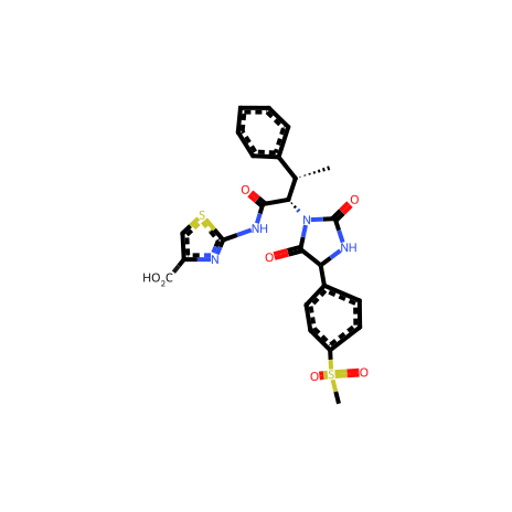 C[C@@H](c1ccccc1)[C@@H](C(=O)Nc1nc(C(=O)O)cs1)N1C(=O)NC(c2ccc(S(C)(=O)=O)cc2)C1=O